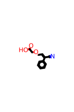 N#C/C(=C/COCC(=O)O)c1ccccc1